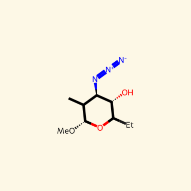 CCC1O[C@H](OC)C(C)[C@@H](N=[N+]=[N-])[C@@H]1O